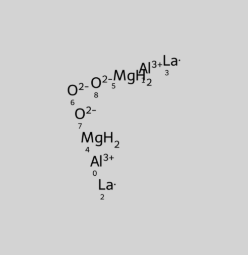 [Al+3].[Al+3].[La].[La].[MgH2].[MgH2].[O-2].[O-2].[O-2]